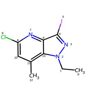 CCn1nc(I)c2nc(Cl)cc(C)c21